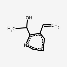 C=Cc1cccnc1C(C)O